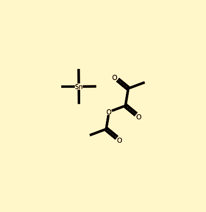 CC(=O)OC(=O)C(C)=O.[CH3][Sn]([CH3])([CH3])[CH3]